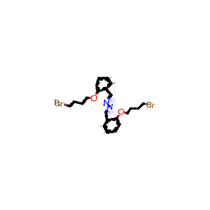 BrCCCCOc1cc[c][c]c1/C=N/N=C/c1[c][c]ccc1OCCCCBr